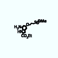 CCOC(=O)c1cc2cc(OCCCSOOC)cc(N)c2[nH]1